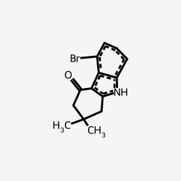 CC1(C)CC(=O)c2c([nH]c3cccc(Br)c23)C1